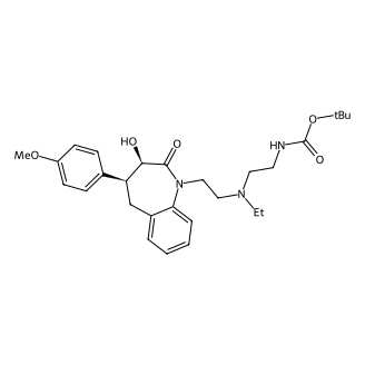 CCN(CCNC(=O)OC(C)(C)C)CCN1C(=O)[C@H](O)[C@H](c2ccc(OC)cc2)Cc2ccccc21